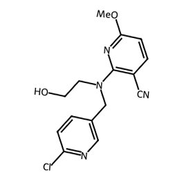 COc1ccc(C#N)c(N(CCO)Cc2ccc(Cl)nc2)n1